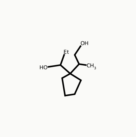 CCC(O)C1(C(C)CO)CCCC1